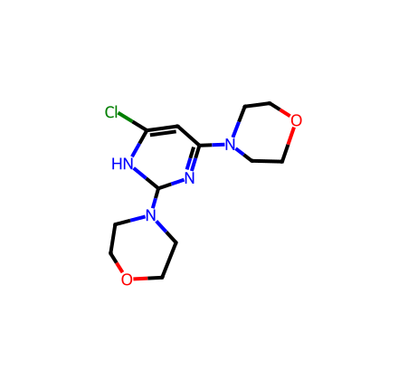 ClC1=CC(N2CCOCC2)=NC(N2CCOCC2)N1